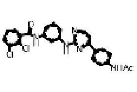 CC(=O)Nc1ccc(-c2ccnc(Nc3cccc(NC(=O)c4cccc(Cl)c4Cl)c3)n2)cc1